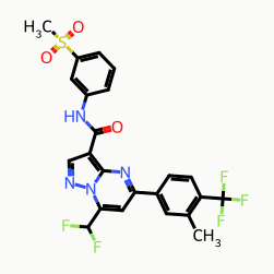 Cc1cc(-c2cc(C(F)F)n3ncc(C(=O)Nc4cccc(S(C)(=O)=O)c4)c3n2)ccc1C(F)(F)F